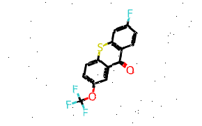 O=c1c2ccc(F)cc2sc2ccc(OC(F)(F)F)cc12